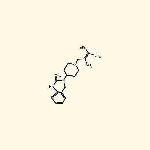 C=C1Nc2ccccc2CN1C1CCN(C/C(N)=C(/C)CCC)CC1